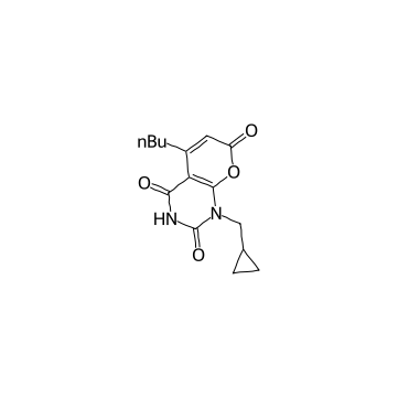 CCCCc1cc(=O)oc2c1c(=O)[nH]c(=O)n2CC1CC1